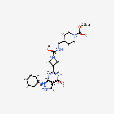 CC(C)(C)OC(=O)N1CCC(CNC(=O)N2CC(c3nc4c(cnn4C4CCCCC4)c(=O)[nH]3)C2)CC1